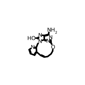 Nc1nc2nc3c1nc(O)n3Cc1ncccc1/C=C\CCCO2